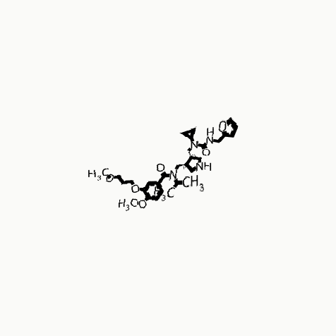 COCCCOc1cc(C(=O)N(C[C@@H]2CNC[C@H]2CN(C(=O)NCc2ccco2)C2CC2)C(C)C)ccc1OC